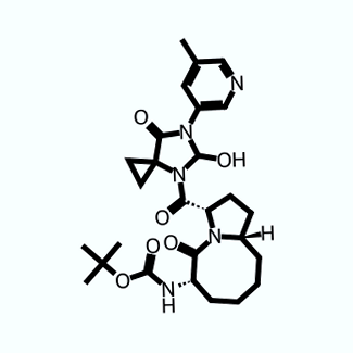 Cc1cncc(N2C(=O)C3(CC3)N(C(=O)[C@@H]3CC[C@@H]4CCCC[C@H](NC(=O)OC(C)(C)C)C(=O)N43)C2O)c1